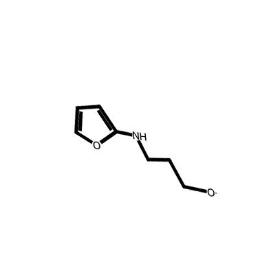 [O]CCCNc1ccco1